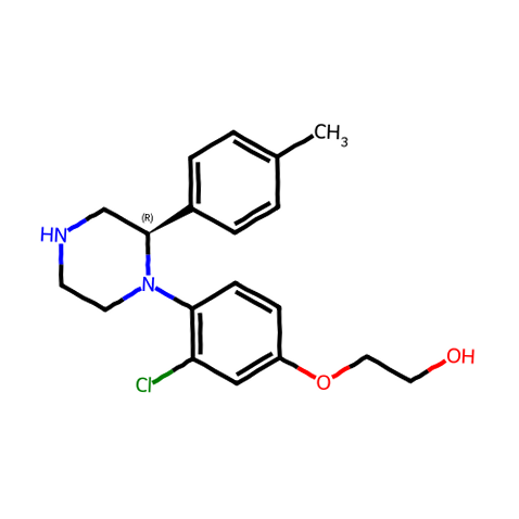 Cc1ccc([C@@H]2CNCCN2c2ccc(OCCO)cc2Cl)cc1